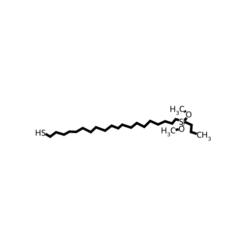 CCC[Si](CCCCCCCCCCCCCCCCCCCCS)(OC)OC